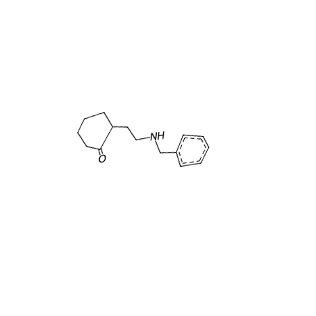 O=C1CCCCC1CCNCc1ccccc1